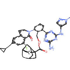 Cn1cc(Nc2nc(N)nc(-c3cccc(-n4ccc5cc(C6CC6)cc(F)c5c4=O)c3COC(=O)C34CC5CC(CC3C5)C4)n2)cn1